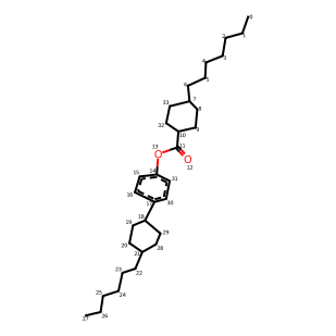 CCCCCCCC1CCC(C(=O)Oc2ccc(C3CCC(CCCCCC)CC3)cc2)CC1